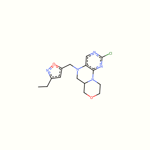 CCc1cc(CN2CC3COCCN3c3nc(Cl)ncc32)on1